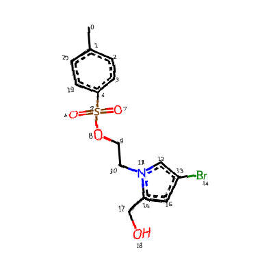 Cc1ccc(S(=O)(=O)OCCn2cc(Br)cc2CO)cc1